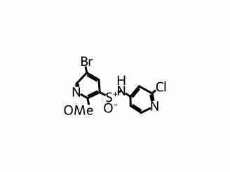 COc1ncc(Br)cc1[S+]([O-])Nc1ccnc(Cl)c1